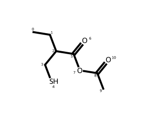 CCC(CS)C(=O)OC(C)=O